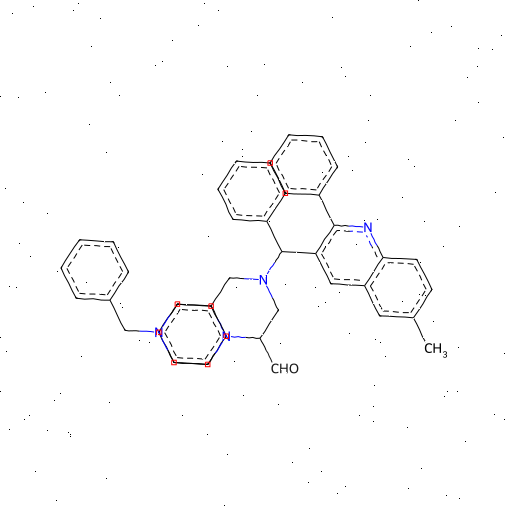 Cc1ccc2nc(-c3ccccc3)c(C(c3ccccc3)N(Cc3ccccc3)CC(C=O)N3CCN(Cc4ccccc4)CC3)cc2c1